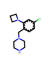 Clc1ccc(CN2CCNCC2)c(N2CCC2)c1